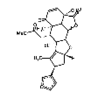 CC[C@@]12C3=C(C)[C@H](c4ccoc4)C[C@H]3OC1[C@@H]1OC(=O)[C@]3(C)C=CC(=O)[C@@](C)(C13)[C@H]2CC(=O)OC